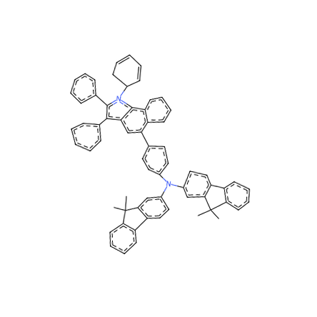 CC1(C)c2ccccc2-c2ccc(N(c3ccc(-c4cc5c(-c6ccccc6)c(-c6ccccc6)n(C6C=CC=CC6)c5c5ccccc45)cc3)c3ccc4c(c3)C(C)(C)c3ccccc3-4)cc21